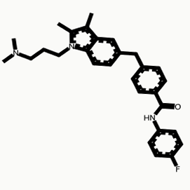 Cc1c(C)n(CCCN(C)C)c2ccc(Cc3ccc(C(=O)Nc4ccc(F)cc4)cc3)cc12